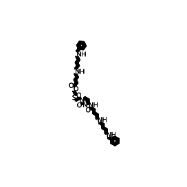 O=C(CCCCNCCCCCNCc1ccccc1)Nc1ccn(C2CSC(COC(=O)CCCCNCCCCCNCc3ccccc3)O2)c(=O)n1